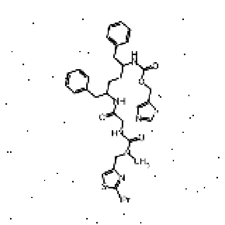 CC(C)c1nc(CN(C)C(=O)NCC(=O)NC(CCC(Cc2ccccc2)NC(=O)OCc2cncs2)Cc2ccccc2)cs1